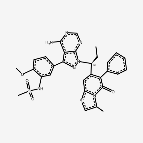 CC[C@@H](c1cc2scc(C)n2c(=O)c1-c1ccccc1)n1nc(-c2ccc(OC)c(NS(C)(=O)=O)c2)c2c(N)ncnc21